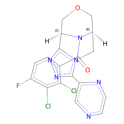 O=C(c1ccc(F)c(Cl)c1Cl)N1[C@H]2COC[C@@H]1c1nnc(-c3cnccn3)n1C2